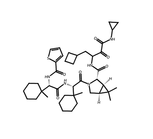 CC1([C@H](NC(=O)c2cccs2)C(=O)N[C@H](C(=O)N2C[C@H]3[C@@H]([C@H]2C(=O)NC(CC2CCC2)C(=O)C(=O)NC2CC2)C3(C)C)C2(C)CCCCC2)CCCCC1